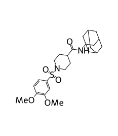 COc1ccc(S(=O)(=O)N2CCC(C(=O)NC34CC5CC(CC(C5)C3)C4)CC2)cc1OC